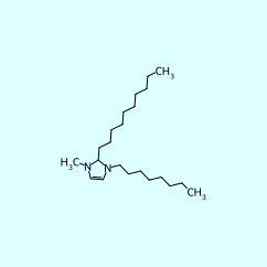 CCCCCCCCCCC1N(C)C=CN1CCCCCCCC